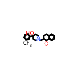 O=C1c2ccccc2CCC1CN1CCC(O)(c2cccc(C(F)(F)F)c2)CC1